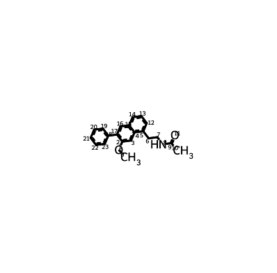 COc1cc2c(CCNC(C)=O)cccc2cc1-c1ccccc1